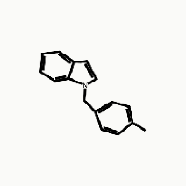 Cc1ccc(Cn2c[c]c3ccccc32)cc1